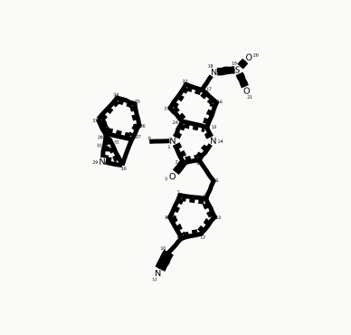 Cn1c(=O)c(Cc2ccc(C#N)cc2)nc2cc(N=S(=O)=O)ccc21.c1cc2c3nc-2ccc3c1